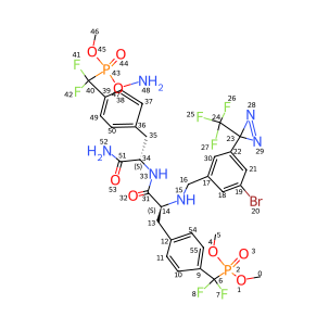 COP(=O)(OC)C(F)(F)c1ccc(C[C@H](NCc2cc(Br)cc(C3(C(F)(F)F)N=N3)c2)C(=O)N[C@@H](Cc2ccc(C(F)(F)P(=O)(OC)ON)cc2)C(N)=O)cc1